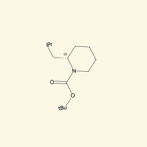 CC(C)C[C@@H]1CCCCN1C(=O)OC(C)(C)C